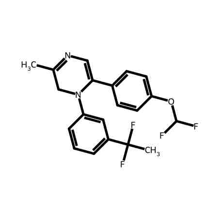 CC1=NC=C(c2ccc(OC(F)F)cc2)N(c2cccc(C(C)(F)F)c2)C1